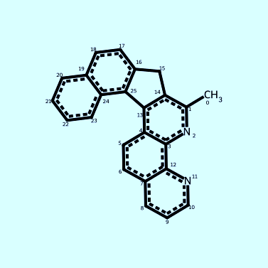 Cc1nc2c(ccc3cccnc32)c2c1Cc1ccc3ccccc3c1-2